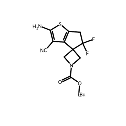 CC(C)(C)OC(=O)N1CC2(C1)c1c(sc(N)c1C#N)CC2(F)F